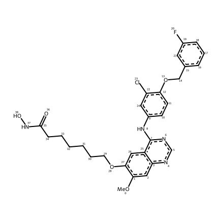 COc1cc2ncnc(Nc3ccc(OCc4cccc(F)c4)c(Cl)c3)c2cc1OCCCCCCC(=O)NO